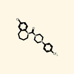 O=C(N1CCN(c2ccc(C(F)(F)F)cc2)CC1)N1CCCCc2cc(Cl)ccc21